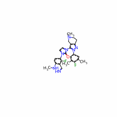 CNc1ccc(-n2ccn(-c3c4c(nn3-c3cc(C)c(F)c(C)c3)CCN(C)C4)c2=O)c(F)c1C=N